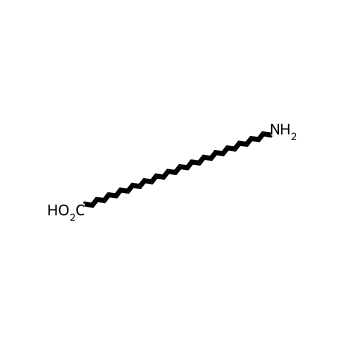 NCCCCCCCCCCCCCCCCCCCCCCCCCCCCCCCCC(=O)O